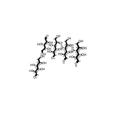 O=C[C@@H](O)[C@@H](O)[C@H](O)CO.O=C[C@@H](O)[C@@H](O)[C@H](O)[C@H](O)CO.O=C[C@@H](O)[C@@H](O)[C@H](O)[C@H](O)CO.O=C[C@@H](O)[C@@H](O)[C@H](O)[C@H](O)CO.O=C[C@@H](O)[C@@H](O)[C@H](O)[C@H](O)CO